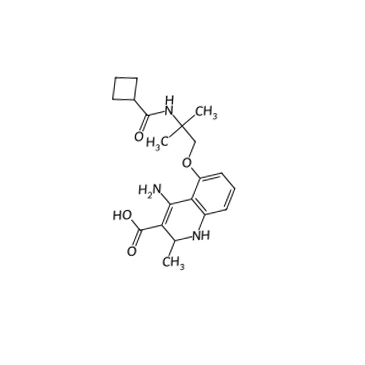 CC1Nc2cccc(OCC(C)(C)NC(=O)C3CCC3)c2C(N)=C1C(=O)O